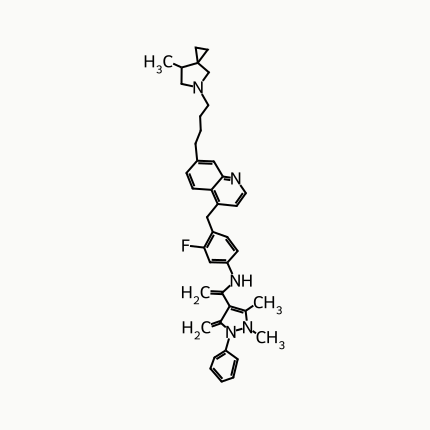 C=C(Nc1ccc(Cc2ccnc3cc(CCCCN4CC(C)C5(CC5)C4)ccc23)c(F)c1)C1=C(C)N(C)N(c2ccccc2)C1=C